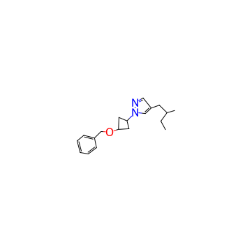 CCC(C)Cc1cnn(C2CC(OCc3ccccc3)C2)c1